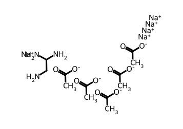 CC(=O)[O-].CC(=O)[O-].CC(=O)[O-].CC(=O)[O-].CC(=O)[O-].NCC(N)N.[Na+].[Na+].[Na+].[Na+].[Na+]